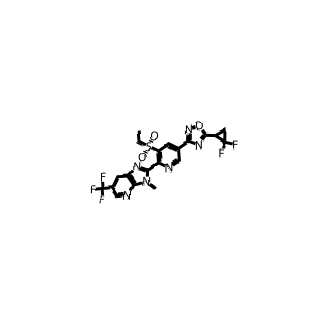 CCS(=O)(=O)c1cc(-c2noc(C3CC3(F)F)n2)cnc1-c1nc2cc(C(F)(F)F)cnc2n1C